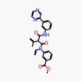 C=CN(C(=O)C(C(=C)C)C(=O)Nc1cccc(-c2cnccn2)c1)c1cccc(C(=O)OC)c1